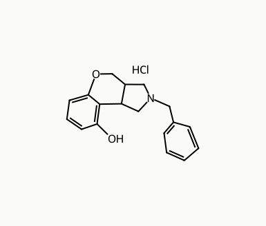 Cl.Oc1cccc2c1C1CN(Cc3ccccc3)CC1CO2